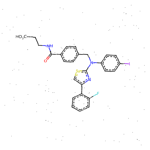 O=C(O)CCNC(=O)c1ccc(CN(c2ccc(I)cc2)c2nc(-c3ccccc3F)cs2)cc1